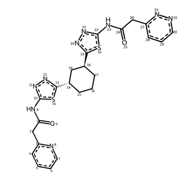 O=C(Cc1ccccn1)Nc1nnc([C@H]2CCC[C@H](c3nnc(NC(=O)Cc4cccnn4)s3)C2)s1